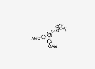 COc1ccc(-c2nc(SCC3COC(C)(C)O3)sc2-c2ccc(OC)cc2)cc1